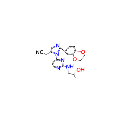 CC(O)CNc1nccc(-n2c(CC#N)cnc2-c2ccc3c(c2)OCCO3)n1